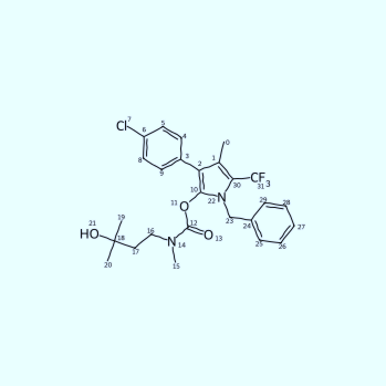 Cc1c(-c2ccc(Cl)cc2)c(OC(=O)N(C)CCC(C)(C)O)n(Cc2ccccc2)c1C(F)(F)F